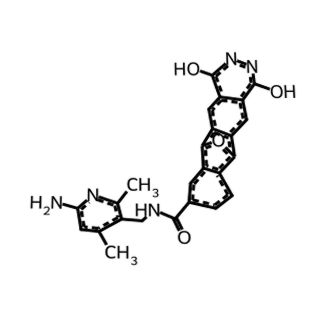 Cc1cc(N)nc(C)c1CNC(=O)c1ccc2c(c1)c1oc2c2cc3c(O)nnc(O)c3cc21